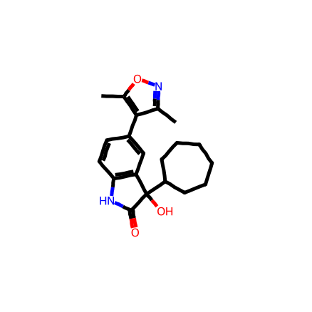 Cc1noc(C)c1-c1ccc2c(c1)C(O)(C1CCCCCC1)C(=O)N2